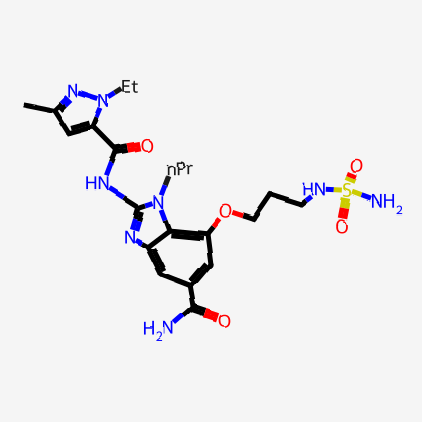 CCCn1c(NC(=O)c2cc(C)nn2CC)nc2cc(C(N)=O)cc(OCCCNS(N)(=O)=O)c21